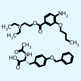 CC(=O)N[C@H](Cc1ccc(OCc2ccccc2)cc1)C(=O)O.CCCCOc1cc(C(=O)OCCN(CC)CC)ccc1N